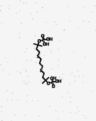 CC(C)(CCSCCCSCCC(C)(C)OP(=O)(O)O)OP(=O)(O)O